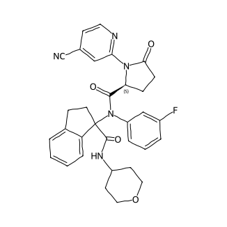 N#Cc1ccnc(N2C(=O)CC[C@H]2C(=O)N(c2cccc(F)c2)C2(C(=O)NC3CCOCC3)CCc3ccccc32)c1